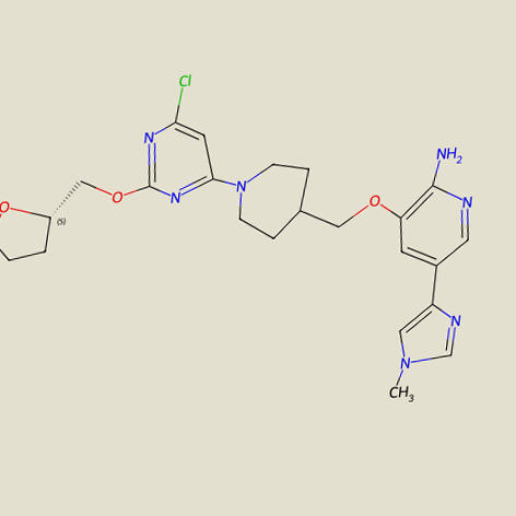 Cn1cnc(-c2cnc(N)c(OCC3CCN(c4cc(Cl)nc(OC[C@@H]5CCCO5)n4)CC3)c2)c1